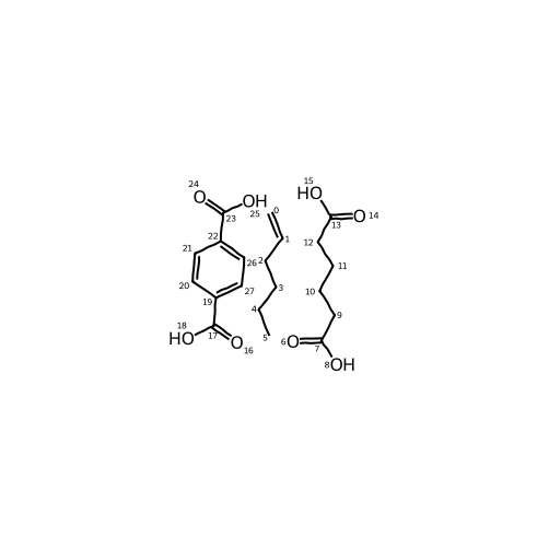 C=CCCCC.O=C(O)CCCCC(=O)O.O=C(O)c1ccc(C(=O)O)cc1